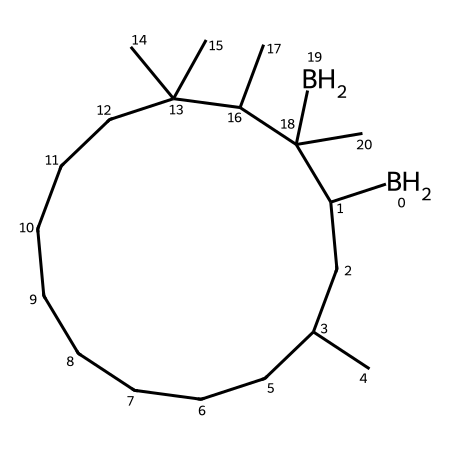 BC1CC(C)CCCCCCCCC(C)(C)C(C)C1(B)C